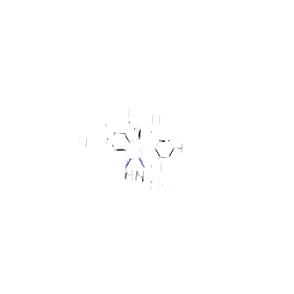 C/C=C(\C(=C/NC=O)Oc1c(C)cc(F)cc1C)c1cn(C)c(=O)c2[nH]ccc12